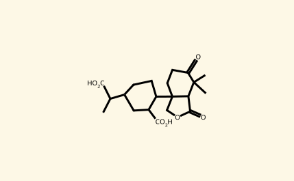 CC(C(=O)O)C1CCC(C23CCC(=O)C(C)(C)C2C(=O)OC3)C(C(=O)O)C1